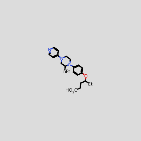 CCCC1CN(c2ccncc2)CCN1c1ccc(OC(CC)CCC(=O)O)cc1